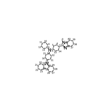 Cn1c(-c2ccc(N(c3ccccc3)c3ccc(-n4c5ccccc5c5ccccc54)cc3)cc2)nc2ccccc21